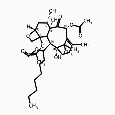 CCCCCCCC(OC=O)[C@H]1C2[C@](C)(C(=O)[C@H](OC(C)=O)C3=C(C)CC[C@]1(O)C3(C)C)[C@@H](O)C[C@H]1OC[C@@]21OC(C)=O